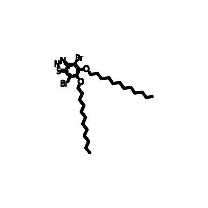 CCCCCCCCCCCCOc1c(OCCCCCCCCCCCC)c(Br)c2snnc2c1Br